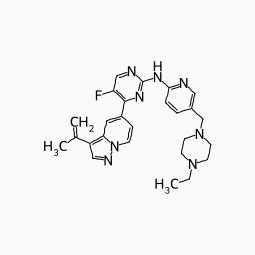 C=C(C)c1cnn2ccc(-c3nc(Nc4ccc(CN5CCN(CC)CC5)cn4)ncc3F)cc12